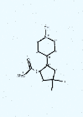 COC(=O)[C@H]1CC(F)(F)CN1C1CCN(C)CC1